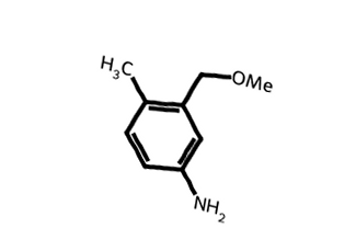 COCc1cc(N)ccc1C